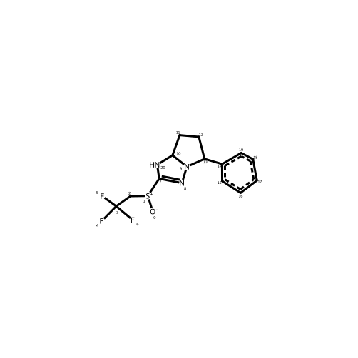 [O-][S+](CC(F)(F)F)C1=NN2C(CCC2c2ccccc2)N1